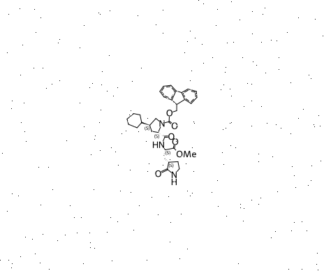 COC(=O)[C@H](C[C@@H]1CCNC1=O)NC(=O)[C@@H]1C[C@@H](C2CCCCC2)CN1C(=O)OCC1c2ccccc2-c2ccccc21